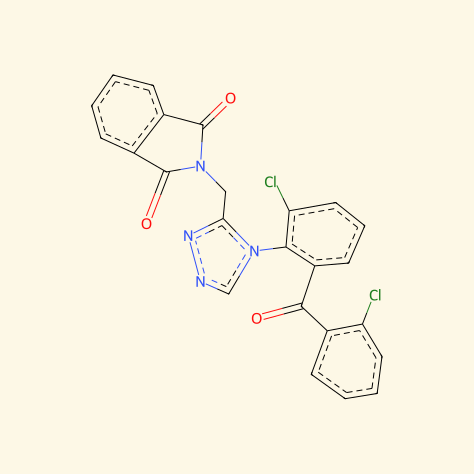 O=C(c1ccccc1Cl)c1cccc(Cl)c1-n1cnnc1CN1C(=O)c2ccccc2C1=O